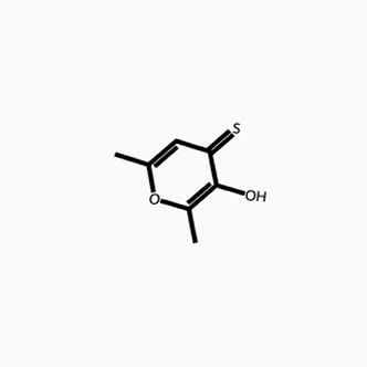 Cc1cc(=S)c(O)c(C)o1